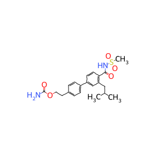 CC(C)Cc1cc(-c2ccc(CCOC(N)=O)cc2)ccc1C(=O)NS(C)(=O)=O